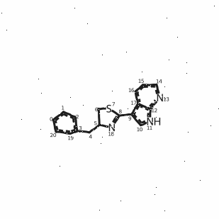 c1ccc(CC2CSC(c3c[nH]c4ncccc34)=N2)cc1